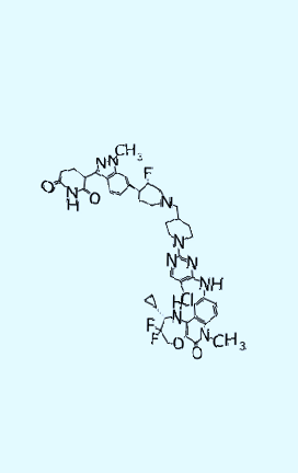 Cn1nc(C2CCC(=O)NC2=O)c2ccc([C@@H]3CCN(CC4CCN(c5ncc(Cl)c(Nc6ccc7c(c6)c6c(c(=O)n7C)OCC(F)(F)[C@H](C7CC7)N6)n5)CC4)C[C@H]3F)cc21